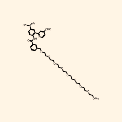 CCCN(CCC)c1ccc(NC(=O)c2cccc(COCCOCCOCCOCCOCCOCCOCCOCCOC)c2)c(-c2cc(C=O)ccn2)c1